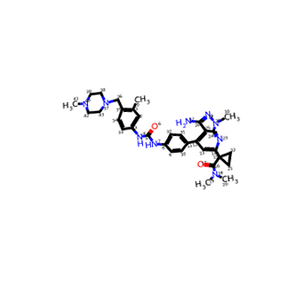 Cc1cc(NC(=O)Nc2ccc(-c3cc(C4(C(=O)N(C)C)CC4)nc4c3c(N)nn4C)cc2)ccc1CN1CCN(C)CC1